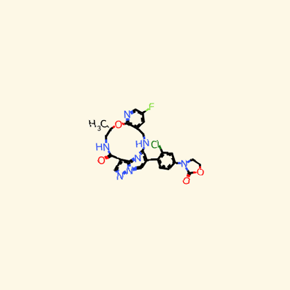 C[C@H]1CNC(=O)c2cnn3cc(-c4ccc(N5CCOC5=O)cc4Cl)c(nc23)NCc2cc(F)cnc2O1